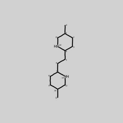 CC1CCC(CCC2CCC(C)CN2)NC1